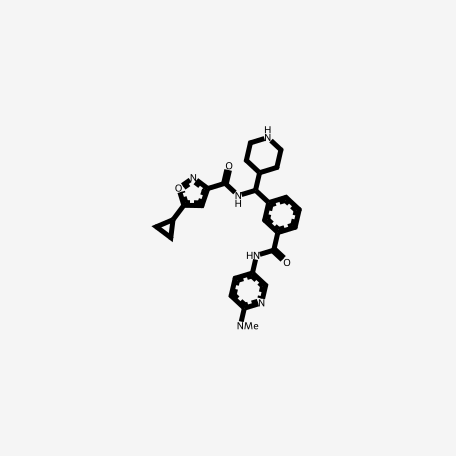 CNc1ccc(NC(=O)c2cccc(C(NC(=O)c3cc(C4CC4)on3)C3CCNCC3)c2)cn1